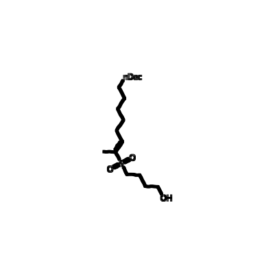 CCCCCCCCCCCCCCC/C=C(\C)S(=O)(=O)CCCCO